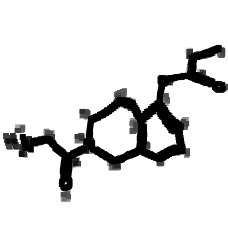 CCC(=O)Oc1cccc2c1CCN(C(=O)CN)C2